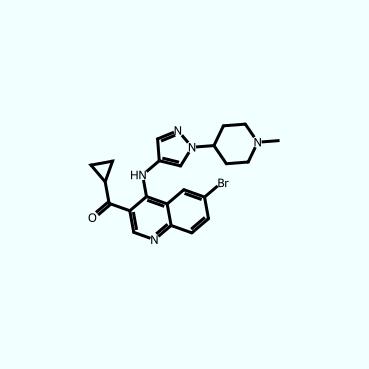 CN1CCC(n2cc(Nc3c(C(=O)C4CC4)cnc4ccc(Br)cc34)cn2)CC1